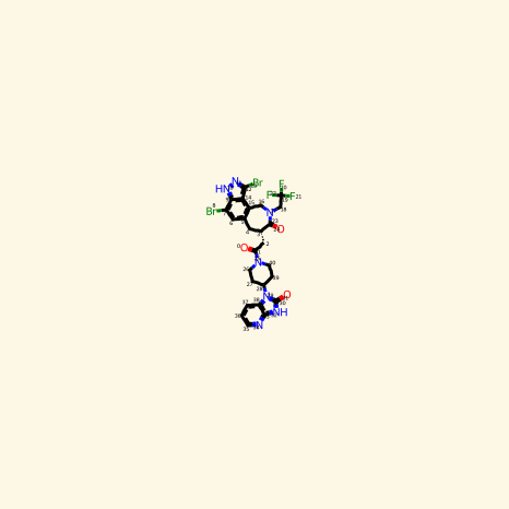 O=C(C[C@@H]1Cc2cc(Br)c3[nH]nc(Br)c3c2CN(CC(F)(F)F)C1=O)N1CCC(n2c(=O)[nH]c3ncccc32)CC1